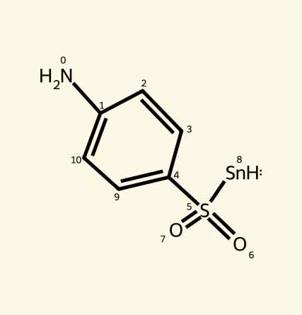 Nc1ccc([S](=O)(=O)[SnH])cc1